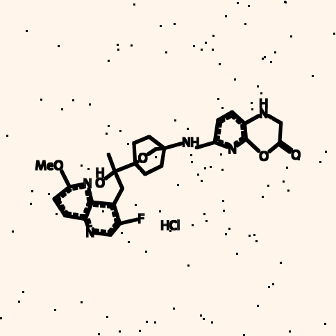 COc1ccc2ncc(F)c(CC(C)(O)C34CCC(NCc5ccc6c(n5)OC(=O)CN6)(CC3)CO4)c2n1.Cl